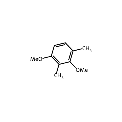 COc1ccc(C)c(OC)c1C